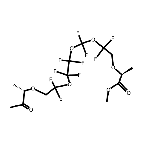 COC(=O)[C@H](C)OCC(F)(F)OC(F)(F)OC(F)(F)C(F)(F)OC(F)(F)CO[C@@H](C)C(C)=O